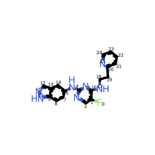 Fc1cnc(Nc2ccc3[nH]ncc3c2)nc1NCCc1ccccn1